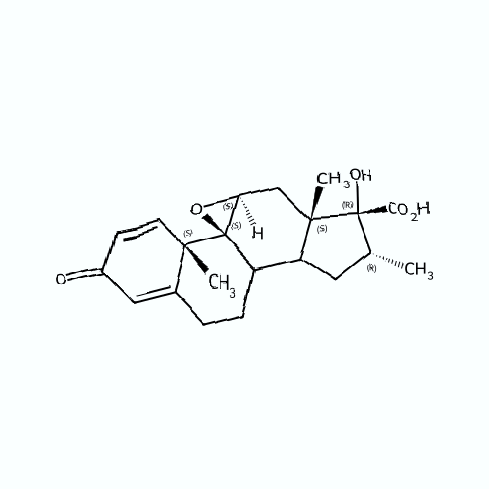 C[C@@H]1CC2C3CCC4=CC(=O)C=C[C@]4(C)[C@@]34O[C@H]4C[C@]2(C)[C@@]1(O)C(=O)O